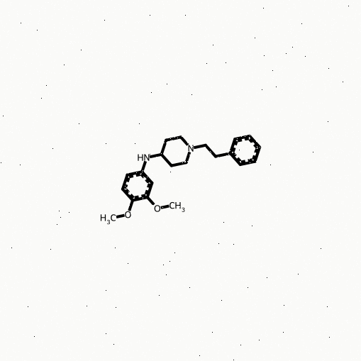 COc1ccc(NC2CCN(CCc3ccccc3)CC2)cc1OC